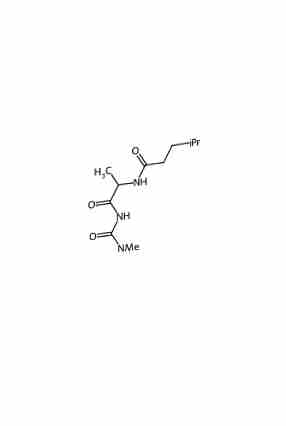 CNC(=O)NC(=O)C(C)NC(=O)CCC(C)C